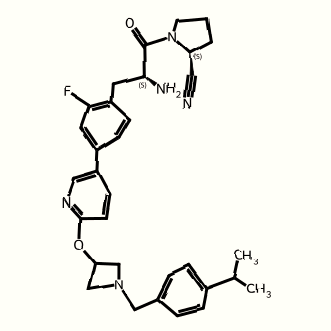 CC(C)c1ccc(CN2CC(Oc3ccc(-c4ccc(C[C@H](N)C(=O)N5CCC[C@H]5C#N)c(F)c4)cn3)C2)cc1